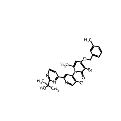 Cc1cccc(COc2cc(C)n(-c3cc(-c4ccnc(C(C)(C)O)n4)ncc3Cl)c(=O)c2Br)c1